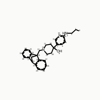 CCCNc1ccc(C2(O)CCN(CC34CC(c5ccccc53)c3ccccc34)CC2)cn1